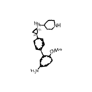 COc1ccc(N)cc1-c1ccc([C@H]2C[C@@H]2NC2CCNCC2)cc1